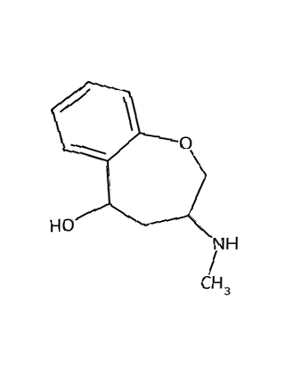 CNC1COc2ccccc2C(O)C1